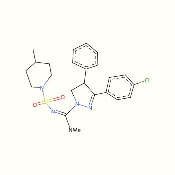 CNC(=NS(=O)(=O)N1CCC(C)CC1)N1CC(c2ccccc2)C(c2ccc(Cl)cc2)=N1